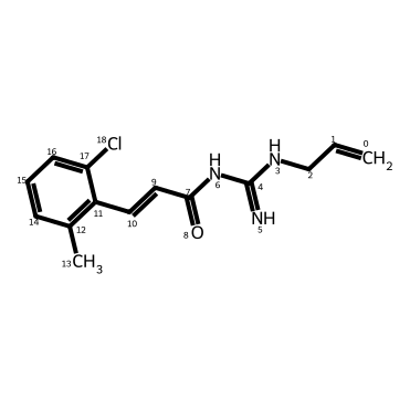 C=CCNC(=N)NC(=O)C=Cc1c(C)cccc1Cl